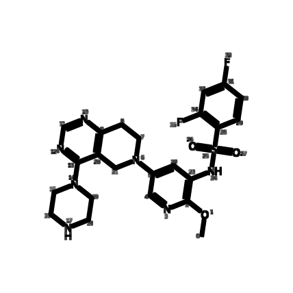 COc1ncc(N2CCc3ncnc(N4CCNCC4)c3C2)cc1NS(=O)(=O)c1ccc(F)cc1F